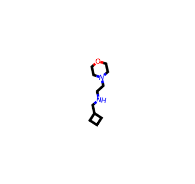 C1CC(CNCCN2CCOCC2)C1